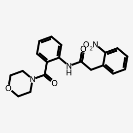 O=C(Cc1ccccc1[N+](=O)[O-])Nc1ccccc1C(=O)N1CCOCC1